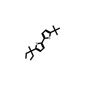 CCC(C)(CC)c1ccc(-c2ccc(C(C)(C)C)s2)s1